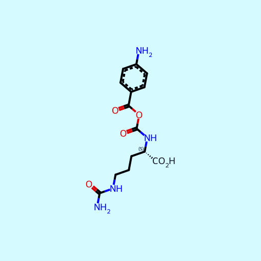 NC(=O)NCCC[C@H](NC(=O)OC(=O)c1ccc(N)cc1)C(=O)O